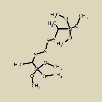 CO[Si](OC)(OC)C(C)SSSSC(C)[Si](OC)(OC)OC